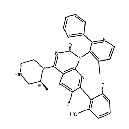 Cc1ccnc(-c2ccccc2)c1-n1c(=O)nc(N2CCNC[C@@H]2C)c2cc(F)c(-c3c(O)cccc3F)nc21